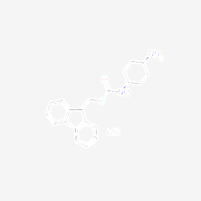 Cl.N[C@H]1CC[C@@H](NC(=O)OCC2c3ccccc3-c3ccccc32)CC1